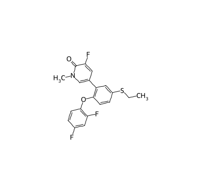 CCSc1ccc(Oc2ccc(F)cc2F)c(-c2cc(F)c(=O)n(C)c2)c1